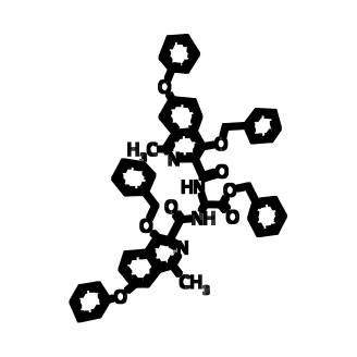 Cc1nc(C(=O)NC(NC(=O)c2nc(C)c3cc(Oc4ccccc4)ccc3c2OCc2ccccc2)C(=O)OCc2ccccc2)c(OCc2ccccc2)c2ccc(Oc3ccccc3)cc12